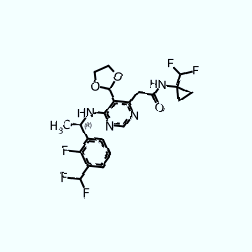 C[C@@H](Nc1ncnc(CC(=O)NC2(C(F)F)CC2)c1C1OCCO1)c1cccc(C(F)F)c1F